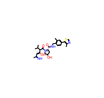 CC(=N)/C=C(\O)C(C(=O)N1C[C@H](O)C[C@H]1C(=O)NCc1ccc(-c2scnc2C)cc1C)C(C)C